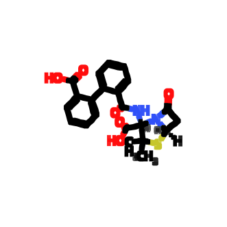 CC1(C)S[C@@H]2CC(=O)N2[C@@]1(NC(=O)c1ccccc1-c1ccccc1C(=O)O)C(=O)O